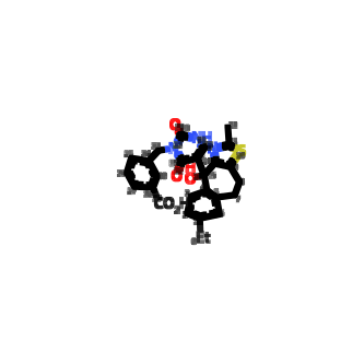 CCc1ccc2c(c1)CCc1sc(C)nc1C2(O)c1c[nH]c(=O)n(Cc2cccc(C(=O)O)c2)c1=O